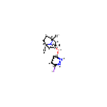 O=C(O)N1[C@@H]2CC[C@H]1CC(Oc1ccc(I)nn1)C2